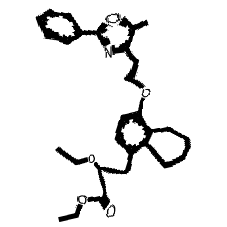 CCOC(=O)C(Cc1ccc(OCCc2nc(-c3ccccc3)oc2C)c2c1CCCC2)OCC